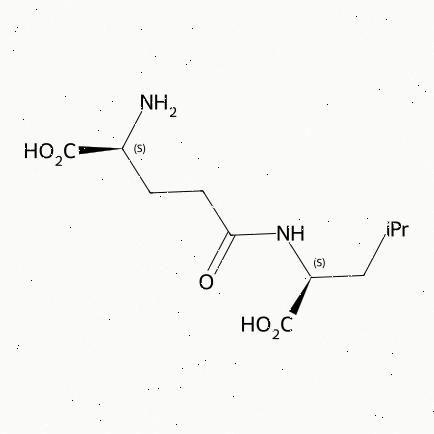 CC(C)C[C@H](NC(=O)CC[C@H](N)C(=O)O)C(=O)O